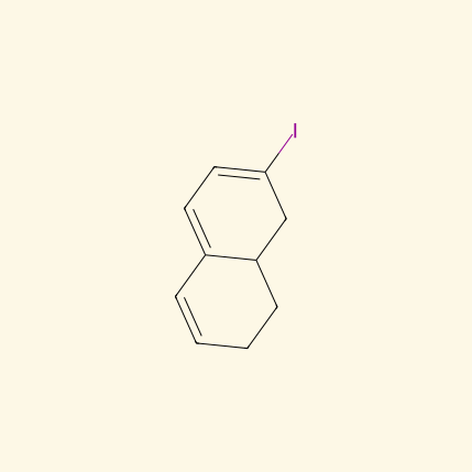 IC1=CC=C2C=CCCC2C1